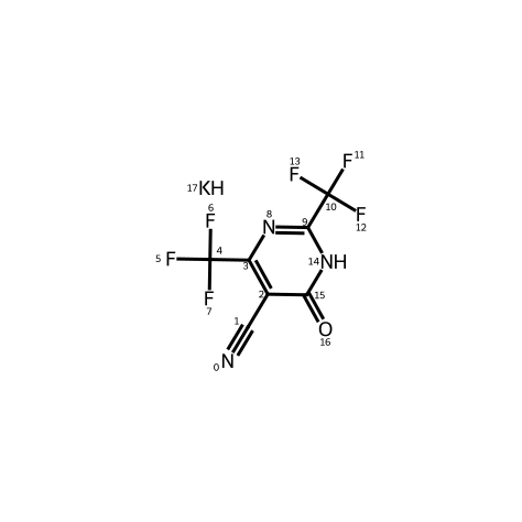 N#Cc1c(C(F)(F)F)nc(C(F)(F)F)[nH]c1=O.[KH]